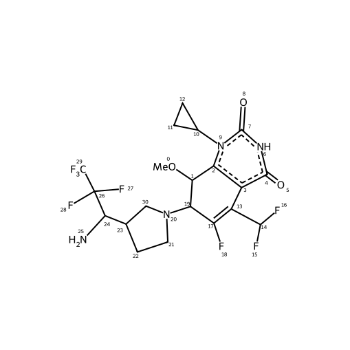 COC1c2c(c(=O)[nH]c(=O)n2C2CC2)C(C(F)F)=C(F)C1N1CCC(C(N)C(F)(F)C(F)(F)F)C1